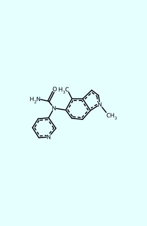 Cc1c(N(C(N)=O)c2cccnc2)ccc2c1ccn2C